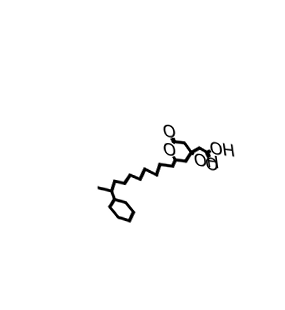 CC(CCCCCCCCC1CC(O)(CC(=O)O)CC(=O)O1)C1CCCCC1